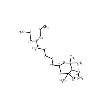 CCOC(OCC)[SiH2]CCCOC1CC(C)(C)N(OC)C(C)(C)C1